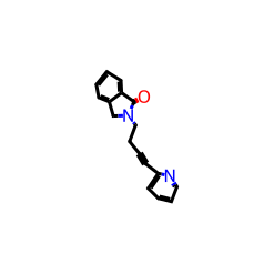 O=C1c2ccccc2CN1CCC#Cc1ccccn1